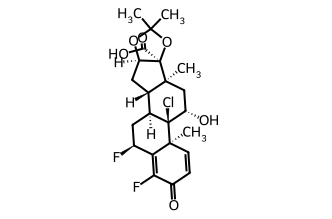 CC1(C)O[C@@H]2C[C@H]3[C@@H]4C[C@H](F)C5=C(F)C(=O)C=C[C@]5(C)[C@@]4(Cl)[C@@H](O)C[C@]3(C)[C@]2(C(=O)O)O1